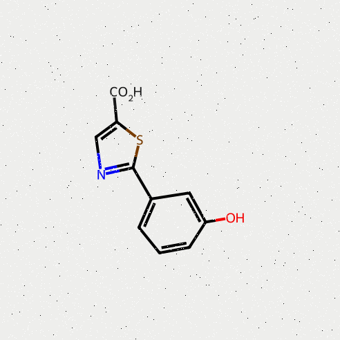 O=C(O)c1cnc(-c2cccc(O)c2)s1